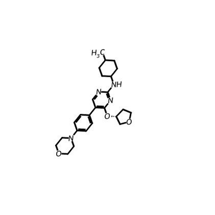 CC1CCC(Nc2ncc(-c3ccc(N4CCOCC4)cc3)c(O[C@@H]3CCOC3)n2)CC1